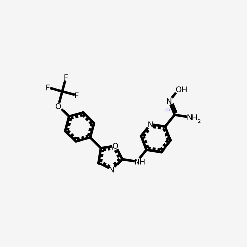 N/C(=N\O)c1ccc(Nc2ncc(-c3ccc(OC(F)(F)F)cc3)o2)cn1